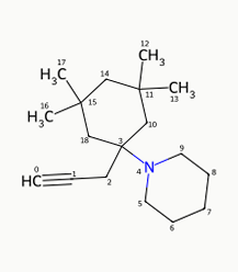 C#CCC1(N2CCCCC2)CC(C)(C)CC(C)(C)C1